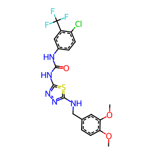 COc1ccc(CNc2nnc(NC(=O)Nc3ccc(Cl)c(C(F)(F)F)c3)s2)cc1OC